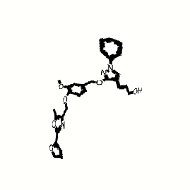 COc1cc(COc2nn(-c3ccccc3)cc2C=CCO)ccc1OCc1nc(-c2ccco2)oc1C